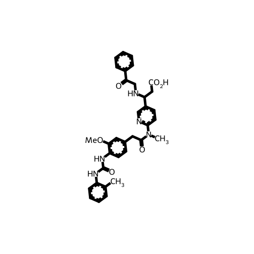 COc1cc(CC(=O)N(C)c2ccc(C(CC(=O)O)NCC(=O)c3ccccc3)cn2)ccc1NC(=O)Nc1ccccc1C